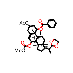 COC(=O)OC1C=C2CC(OC(C)=O)CC(OC(=O)c3ccccc3)[C@]2(C)[C@H]2CC[C@]3(C)[C@@H](C(C)C4OCCO4)CC[C@H]3[C@H]12